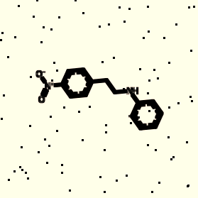 O=[N+]([O-])c1ccc(CCNc2[c]cccc2)cc1